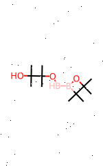 CC(C)(O)C(C)(C)OBB1OC(C)(C)C1(C)C